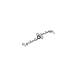 COc1cc(COCCCSCCN)cc(OC)c1OCCCSCCN